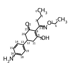 CCC/C(=N\OCC)C1=C(O)CC(c2ccc(N)cc2)CC1=O